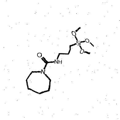 CO[Si](CCCNC(=O)N1CCCCCC1)(OC)OC